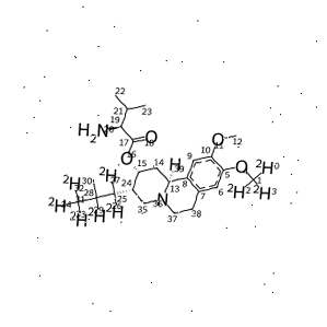 [2H]C([2H])([2H])Oc1cc2c(cc1OC)[C@@H]1C[C@@H](OC(=O)[C@@H](N)C(C)C)[C@@H](C([2H])([2H])C([2H])(C)C([2H])([2H])[2H])CN1CC2